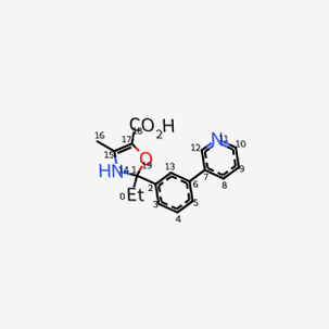 CCC1(c2cccc(-c3cccnc3)c2)NC(C)=C(C(=O)O)O1